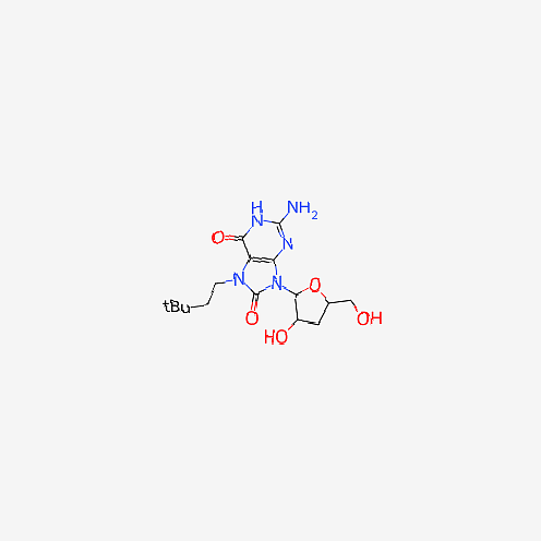 CC(C)(C)CCn1c(=O)n(C2OC(CO)CC2O)c2nc(N)[nH]c(=O)c21